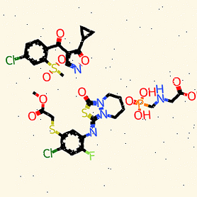 COC(=O)CSc1cc(/N=c2\sc(=O)n3n2CCCC3)c(F)cc1Cl.CS(=O)(=O)c1cc(Cl)ccc1C(=O)c1cnoc1C1CC1.O=C(O)CNCP(=O)(O)O